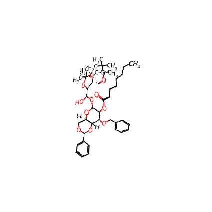 CCCCCCCC(=O)O[C@@H]1[C@H](OC(O)[C@H]2OC(C)(C)O[C@@H]2CO[Si](C)(C)C(C)(C)C)O[C@@H]2COC(c3ccccc3)O[C@H]2[C@@H]1OCc1ccccc1